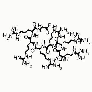 CCC(=O)CNC(=O)C(CCCNC(=N)N)NC(=O)[C@H](CCCNC(=N)N)NC(=O)[C@H](CCCNC(=N)N)NC(=O)[C@H](CCCNC(=N)N)NC(=O)[C@H](CCCNC(N)N)NC(=O)[C@H](CCCNC(=N)N)NC(C)=O